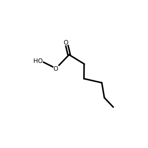 CCCCCC(=O)OO